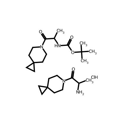 CC(N)C(=O)N1CCC2(CC1)CC2.CC(NC(=O)OC(C)(C)C)C(=O)N1CCC2(CC1)CC2.Cl